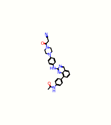 CC(=O)Nc1ccc(-c2cccc3cnc(Nc4ccc(N5CCN(C(=O)CC#N)CC5)cc4)nc23)cc1